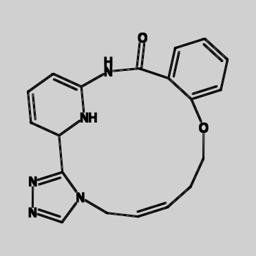 O=C1NC2=CC=CC(N2)c2nncn2C/C=C\CCOc2ccccc21